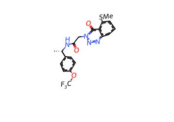 CSc1cccc2nnn(CC(=O)N[C@@H](C)c3ccc(OC(F)(F)F)cc3)c(=O)c12